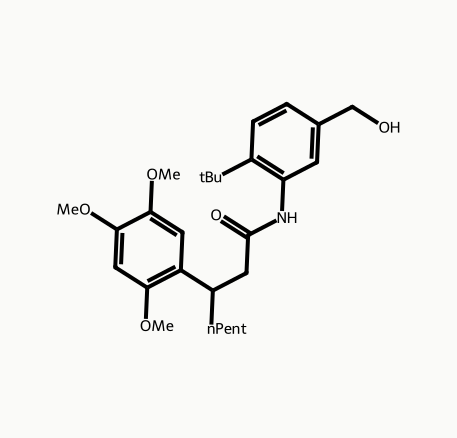 CCCCCC(CC(=O)Nc1cc(CO)ccc1C(C)(C)C)c1cc(OC)c(OC)cc1OC